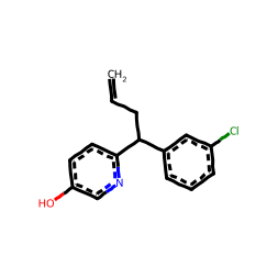 C=CCC(c1cccc(Cl)c1)c1ccc(O)cn1